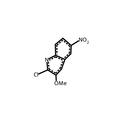 COc1cc2cc([N+](=O)[O-])ccc2nc1Cl